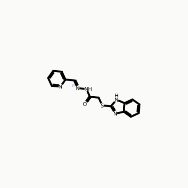 O=C(CSc1nc2ccccc2[nH]1)N/N=C/c1ccccn1